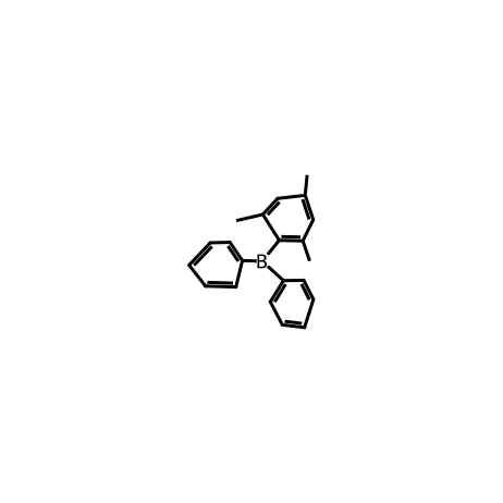 Cc1cc(C)c(B(c2ccccc2)c2ccccc2)c(C)c1